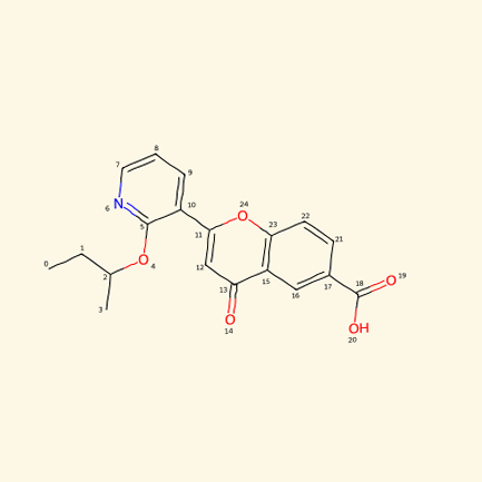 CCC(C)Oc1ncccc1-c1cc(=O)c2cc(C(=O)O)ccc2o1